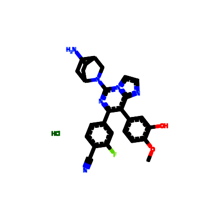 COc1ccc(-c2c(-c3ccc(C#N)c(F)c3)nc(N3CC4CCC3CC4N)n3ccnc23)cc1O.Cl